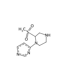 CS(=O)(=O)C1CNCCN1c1ccn[c]n1